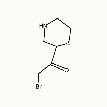 O=C(CBr)C1CNCCS1